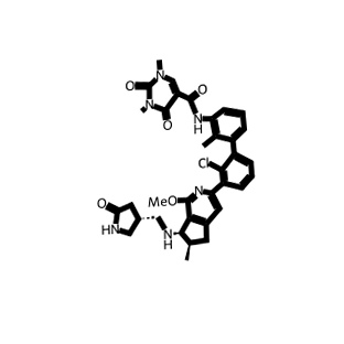 COc1nc(-c2cccc(-c3cccc(NC(=O)c4cn(C)c(=O)n(C)c4=O)c3C)c2Cl)cc2c1[C@@H](NC[C@@H]1CNC(=O)C1)[C@H](C)C2